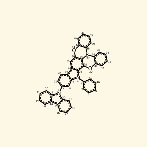 c1ccc(-n2c3cc(-n4c5ccccc5c5ccccc54)ccc3c3cc4c5c(c32)Oc2ccccc2B5c2ccccc2O4)cc1